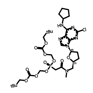 CN(C[C@@H]1CC[C@H](n2cnc3c(NC4CCCC4)nc(Cl)nc32)O1)C(=O)CP(=O)(OCOC(=O)OCC(C)(C)C)OCOC(=O)OCC(C)(C)C